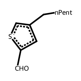 CCCCCCc1csc(C=O)c1